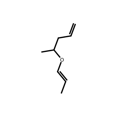 C=CCC(C)OC=CC